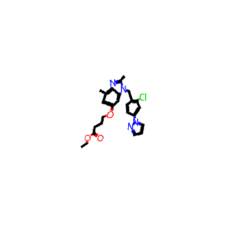 CCOC(=O)CCCOc1cc(C)c2nc(C)n(Cc3ccc(-n4cccn4)cc3Cl)c2c1